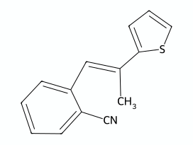 CC(=Cc1ccccc1C#N)c1cccs1